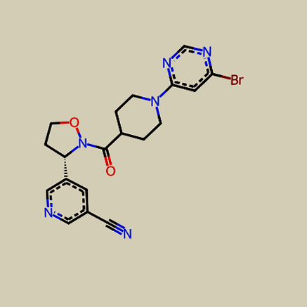 N#Cc1cncc([C@@H]2CCON2C(=O)C2CCN(c3cc(Br)ncn3)CC2)c1